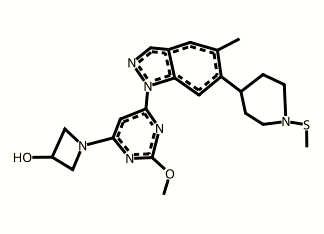 COc1nc(N2CC(O)C2)cc(-n2ncc3cc(C)c(C4CCN(SC)CC4)cc32)n1